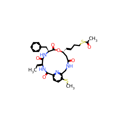 C/C=C1\NC(=O)c2ccc(SC)c(n2)CNC(=O)C[C@@H](/C=C/CCSC(C)=O)OC(=O)[C@H](Cc2ccccc2)NC1=O